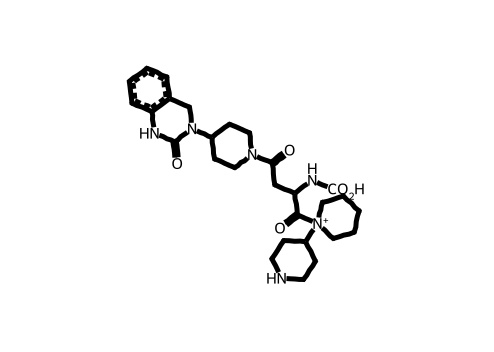 O=C(O)NC(CC(=O)N1CCC(N2Cc3ccccc3NC2=O)CC1)C(=O)[N+]1(C2CCNCC2)CCCCC1